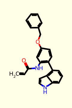 C=CC(=O)Nc1cc(OCc2ccccc2)ccc1-c1cccc2[nH]ccc12